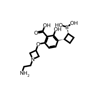 NCCN1CC(Oc2ccc([C@H]3CC[C@H]3B(O)O)c(O)c2C(=O)O)C1